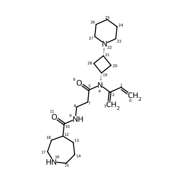 C=CC(=C)N(C(=O)CCNC(=O)C1CCCNCC1)[C@H]1C[C@@H](N2CCCCC2)C1